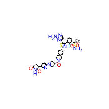 CCC(c1cccc(-c2nc(C3CCC4(CC3)CCN(C(=O)C3CCN(c5ccc(C6CCC(=O)NC6=O)cn5)CC3)CC4)sc2-c2ccnc(N)n2)c1F)S(N)(=O)=O